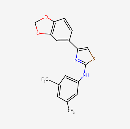 FC(F)(F)c1cc(Nc2nc(-c3ccc4c(c3)OCO4)cs2)cc(C(F)(F)F)c1